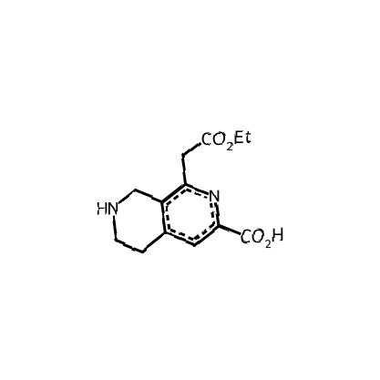 CCOC(=O)Cc1nc(C(=O)O)cc2c1CNCC2